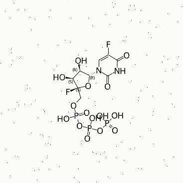 O=c1[nH]c(=O)n([C@@H]2O[C@](F)(COP(=O)(O)OP(=O)(O)OP(=O)(O)O)[C@@H](O)[C@H]2O)cc1F